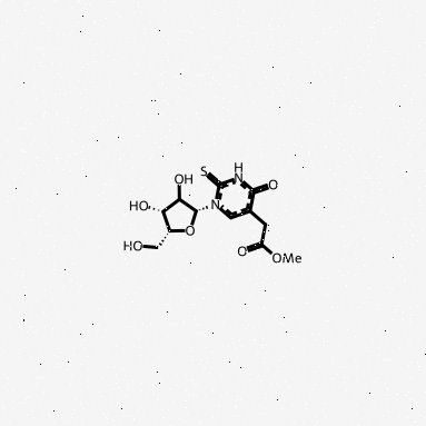 COC(=O)Cc1cn([C@@H]2O[C@H](CO)[C@H](O)C2O)c(=S)[nH]c1=O